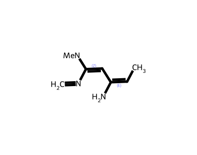 C=N/C(=C\C(N)=C/C)NC